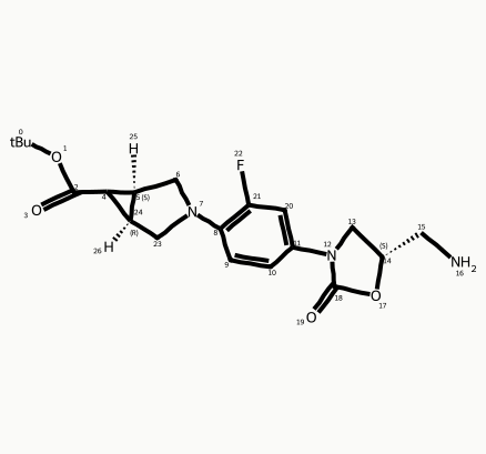 CC(C)(C)OC(=O)C1[C@H]2CN(c3ccc(N4C[C@H](CN)OC4=O)cc3F)C[C@@H]12